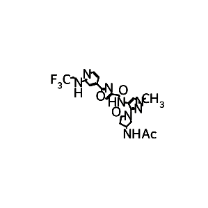 CC(=O)N[C@H]1CC(=O)N(c2nn(C)cc2NC(=O)c2coc(-c3ccnc(NCC(F)(F)F)c3)n2)C1